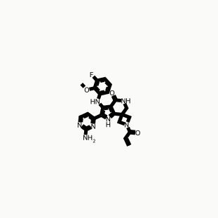 C=CC(=O)N1CC2(CNC(=O)c3c2[nH]c(-c2ccnc(N)n2)c3Nc2cccc(F)c2OC)C1